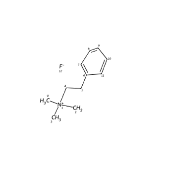 C[N+](C)(C)CCc1ccccc1.[F-]